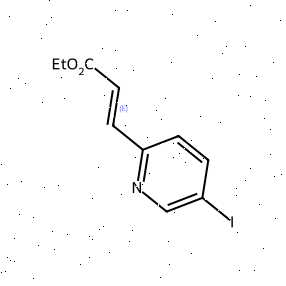 CCOC(=O)/C=C/c1ccc(I)cn1